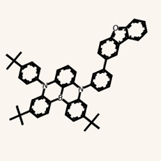 CC(C)(C)c1ccc(N2c3cc(C(C)(C)C)ccc3B3c4ccc(C(C)(C)C)cc4N(c4cccc(-c5ccc6oc7ccccc7c6c5)c4)c4cccc2c43)cc1